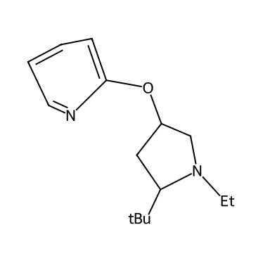 CCN1CC(Oc2ccccn2)CC1C(C)(C)C